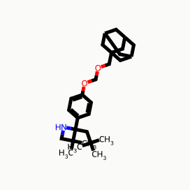 CC(C)(C)CC1(c2ccc(OCOCC34CC5CC(CC(C5)C3)C4)cc2)NCC1(C)C